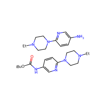 CCN1CCN(c2ccc(N)cn2)CC1.CCN1CCN(c2ccc(NC(=O)OCC(C)C)cn2)CC1